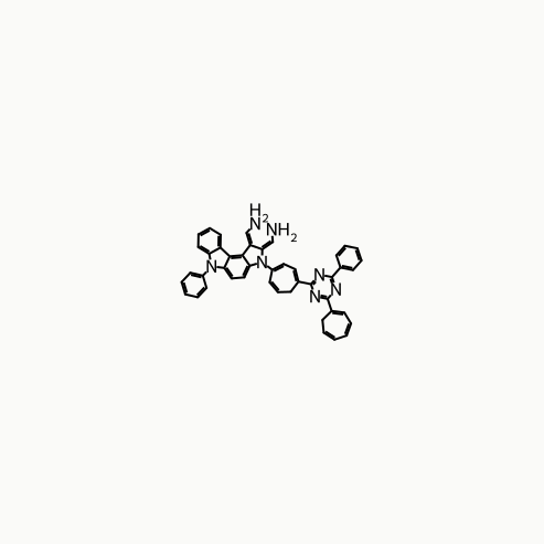 N/C=c1\c(=C/N)n(C2=CC=C(c3nc(C4=CC=CC=CC4)nc(-c4ccccc4)n3)CC=C2)c2ccc3c(c4ccccc4n3-c3ccccc3)c12